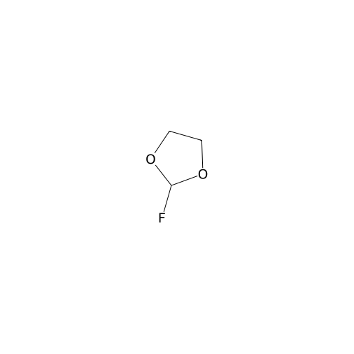 FC1OCCO1